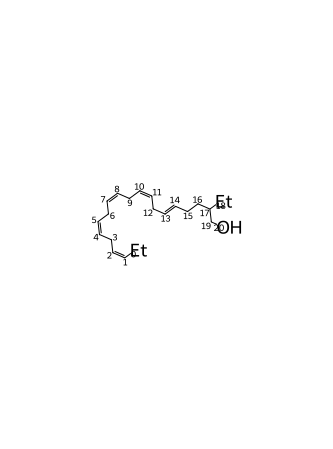 CC/C=C\C/C=C\C/C=C\C/C=C\C/C=C/CCC(CC)CO